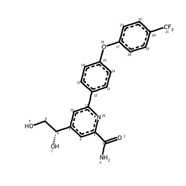 NC(=O)c1cc([C@H](O)CO)cc(-c2ccc(Oc3ccc(C(F)(F)F)cc3)cc2)n1